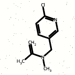 C=C(C)N(C)Cc1ccc(Cl)nc1